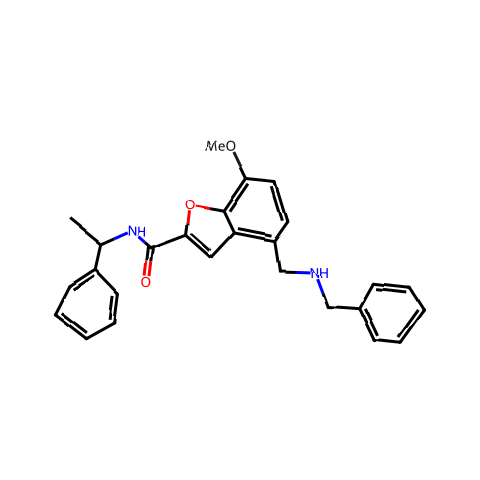 COc1ccc(CNCc2ccccc2)c2cc(C(=O)NC(C)c3ccccc3)oc12